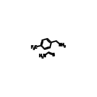 NC=S.NCc1ccc(C(F)(F)F)cc1